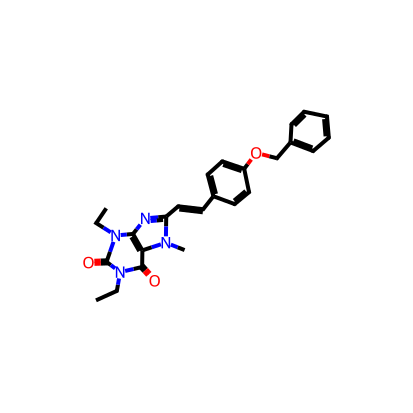 CCn1c(=O)c2c(nc(/C=C/c3ccc(OCc4ccccc4)cc3)n2C)n(CC)c1=O